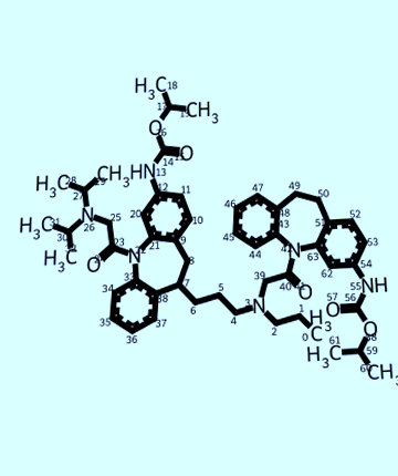 CCCN(CCCC1Cc2ccc(NC(=O)OC(C)C)cc2N(C(=O)CN(C(C)C)C(C)C)c2ccccc21)CC(=O)N1c2ccccc2CCc2ccc(NC(=O)OC(C)C)cc21